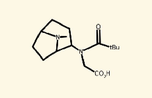 CN1C2CCC(N(CC(=O)O)C(=O)C(C)(C)C)C1CC2